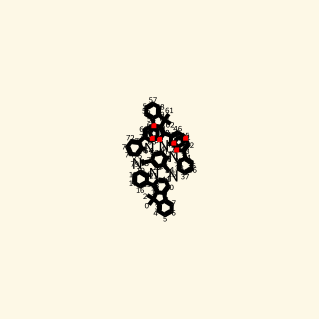 CC1(C)c2ccccc2-c2ccc3c(c21)c1ccccc1n3-c1c(C#N)c(-n2c3ccccc3c3ccccc32)c(-n2c3ccccc3c3c4c(ccc32)-c2ccccc2C4(C)C)c(-n2c3ccccc3c3ccccc32)c1C#N